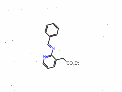 CCOC(=O)Cc1cccnc1N=Cc1ccccc1